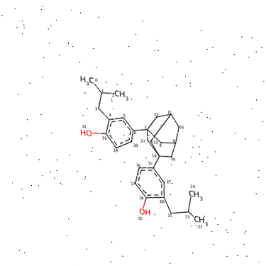 CC(C)Cc1cc(C23CC4CC(C2)CC(c2ccc(O)c(CC(C)C)c2)(C4)C3)ccc1O